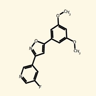 COc1cc(OC)cc(-c2cc(-c3cncc(F)c3)no2)c1